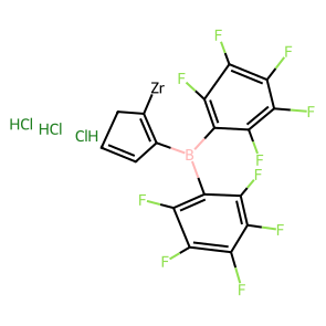 Cl.Cl.Cl.Fc1c(F)c(F)c(B(C2=[C]([Zr])CC=C2)c2c(F)c(F)c(F)c(F)c2F)c(F)c1F